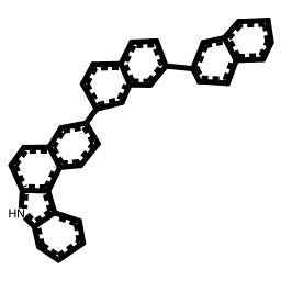 c1ccc2cc(-c3ccc4ccc(-c5ccc6c(ccc7[nH]c8ccccc8c76)c5)cc4c3)ccc2c1